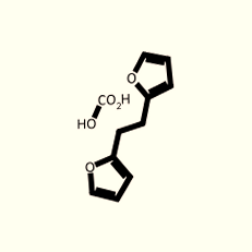 O=C(O)O.c1coc(CCc2ccco2)c1